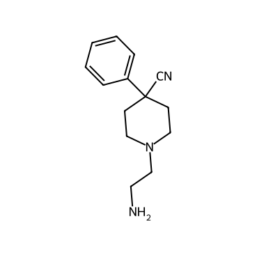 N#CC1(c2ccccc2)CCN(CCN)CC1